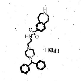 Cl.Cl.Cl.O=S(=O)(NCCN1CCN(C(c2ccccc2)c2ccccc2)CC1)c1ccc2c(c1)CCNCC2